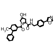 CC1CC=C(C(=O)N2C[C@H](O)C[C@H]2C(=O)NCc2ccc(-c3cnco3)cc2)C=C1c1ccccc1